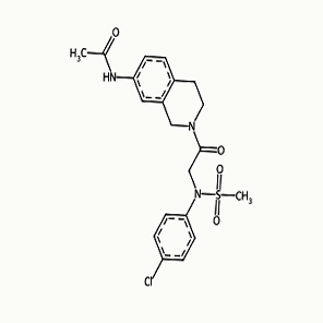 CC(=O)Nc1ccc2c(c1)CN(C(=O)CN(c1ccc(Cl)cc1)S(C)(=O)=O)CC2